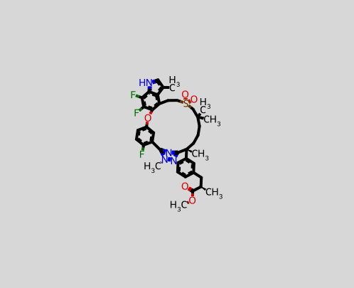 COC(=O)[C@H](C)Cc1cccc([C@@]2(C)CCCC(C)(C)CS(=O)(=O)CCc3c(c(F)c(F)c4[nH]cc(C)c34)Oc3ccc(F)c(c3)-c3nc2nn3C)c1